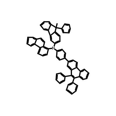 CC1(c2ccccc2)c2ccccc2-c2cc(N(c3ccc(-c4ccc5c(c4)c(-c4ccccc4)c(-c4ccccc4)c4ccccc45)cc3)c3cccc4c3ccc3ccccc34)ccc21